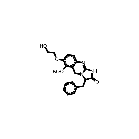 COc1c(OCCO)ccc2c1CN1C(=N2)NC(=O)C1Cc1ccccc1